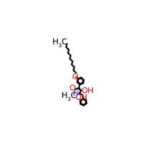 CCCCCCCCCCCCOc1cccc(C2=C(O)C(O)(Cc3ccccc3)N(C)C2=O)c1